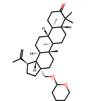 C=C(C)[C@@H]1CC[C@]2(COC3CCCCO3)CC[C@]3(C)[C@H](CC[C@@H]4[C@@]5(C)CCC(=O)C(C)(C)[C@@H]5CC[C@]43C)[C@@H]12